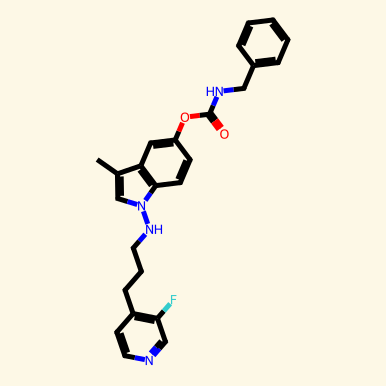 Cc1cn(NCCCc2ccncc2F)c2ccc(OC(=O)NCc3ccccc3)cc12